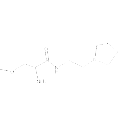 COCC(N)C(=O)NCCN1CCCC1